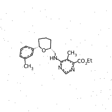 CCOC(=O)c1ncnc(NC[C@H]2CCC[C@@H](c3cccc(C)c3)O2)c1C